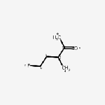 CC(=O)C(C)CCF